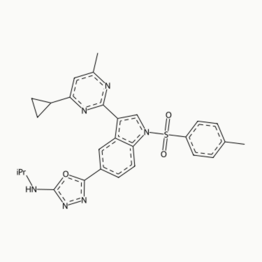 Cc1ccc(S(=O)(=O)n2cc(-c3nc(C)cc(C4CC4)n3)c3cc(-c4nnc(NC(C)C)o4)ccc32)cc1